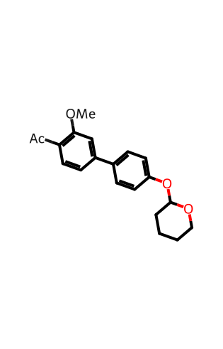 COc1cc(-c2ccc(OC3CCCCO3)cc2)ccc1C(C)=O